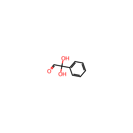 O=CC(O)(O)c1ccccc1